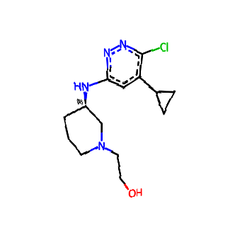 OCCN1CCC[C@@H](Nc2cc(C3CC3)c(Cl)nn2)C1